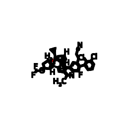 Cc1nc2c(F)c(-c3cccc(Cl)c3Cl)c(CCC#N)cc2c2c1cc([C@H]1[C@H]3C[C@H](C[C@@H]3OC(F)F)N1C(=O)C1CC1)n2[C@H]1[C@H]2CN[C@@H]1C2